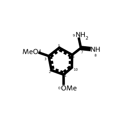 COc1cc(OC)cc(C(=N)N)c1